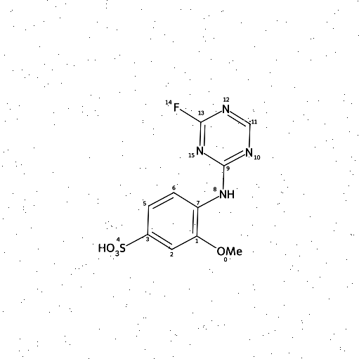 COc1cc(S(=O)(=O)O)ccc1Nc1n[c]nc(F)n1